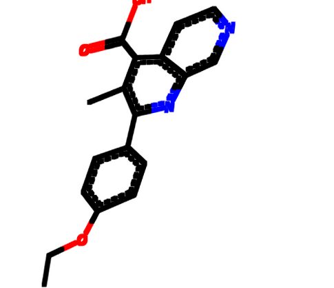 CCOc1ccc(-c2nc3cnccc3c(C(=O)O)c2C)cc1